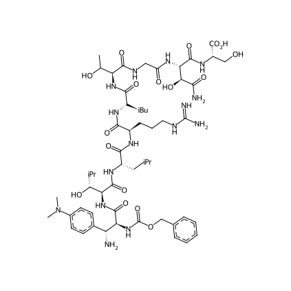 CC[C@H](C)[C@H](NC(=O)[C@@H](CCCNC(=N)N)NC(=O)[C@H](CC(C)C)NC(=O)[C@@H](NC(=O)[C@@H](NC(=O)OCc1ccccc1)[C@H](N)c1ccc(N(C)C)cc1)[C@H](O)C(C)C)C(=O)N[C@H](C(=O)NCC(=O)N[C@H](C(=O)N[C@@H](CO)C(=O)O)[C@H](O)C(N)=O)C(C)O